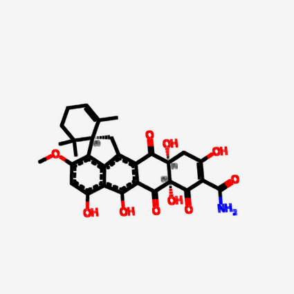 COc1cc(O)c2c(O)c3c(c4c2c1[C@]1(C4)C(C)=CCCC1(C)C)C(=O)[C@@]1(O)CC(O)=C(C(N)=O)C(=O)[C@@]1(O)C3=O